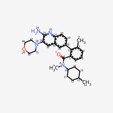 Cc1cccc(C(=O)N(C)C2CCC(C)CC2)c1-c1ccc2nc(N)c(N3CCOCC3)cc2c1